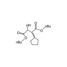 CCCCOC(=O)C(=C1CCCC1)C(CCC)C(=O)OCCCC